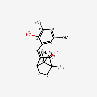 COc1cc(C=C2C(=O)C3(C)CCC2C3(C)C)c(O)c(C(C)(C)C)c1